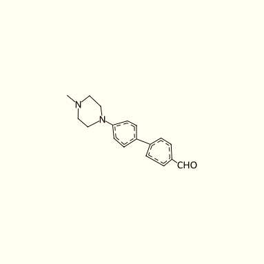 CN1CCN(c2ccc(-c3ccc(C=O)cc3)cc2)CC1